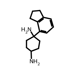 NC1CCC(N)(c2cccc3c2CCC3)CC1